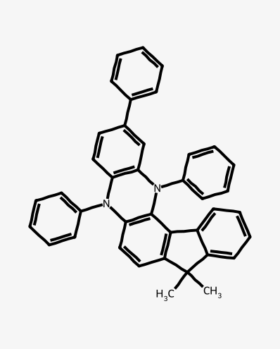 CC1(C)c2ccccc2-c2c1ccc1c2N(c2ccccc2)c2cc(-c3ccccc3)ccc2N1c1ccccc1